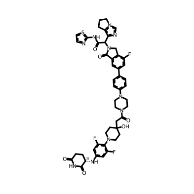 O=C1CC[C@H](Nc2cc(F)c(N3CCC(O)(CC(=O)N4CCN(c5ccc(-c6cc(F)c7c(c6)C(=O)N(C(C(=O)Nc6nccs6)c6ncn8c6CCC8)C7)cc5)CC4)CC3)c(F)c2)C(=O)N1